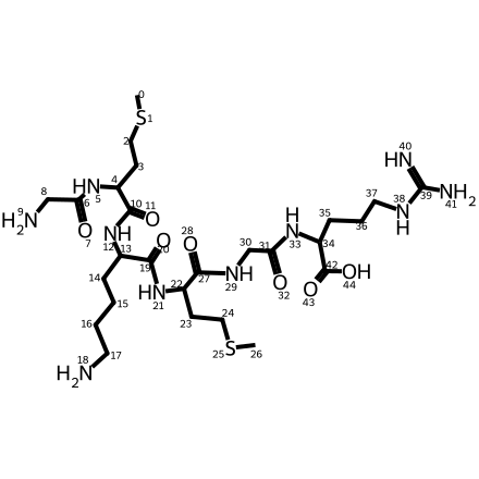 CSCCC(NC(=O)CN)C(=O)NC(CCCCN)C(=O)NC(CCSC)C(=O)NCC(=O)NC(CCCNC(=N)N)C(=O)O